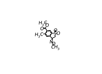 CON=C1CS(=O)(=O)c2cc(C(=O)OC)c(C)cc21